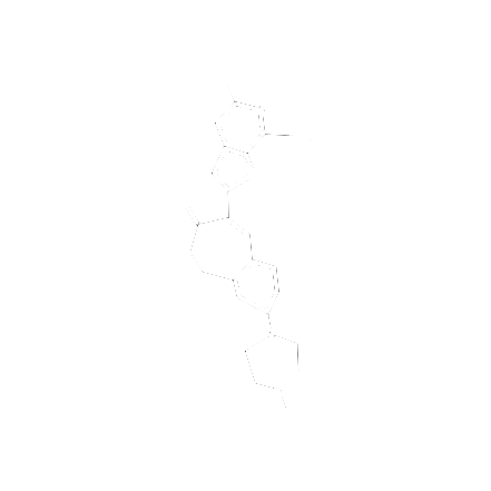 CCN1CCN(c2ccc3c(c2)CCC(=O)C(c2cc4cc(C)nc(C)c4o2)=C3)CC1